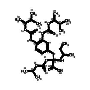 CCC(C)N[C@@](Cc1ccc(OC(=O)OC(C)C(C)C)c(OC(=O)OC(C)C(C)C)c1)(OC(=O)OC(C)C)C(=O)O